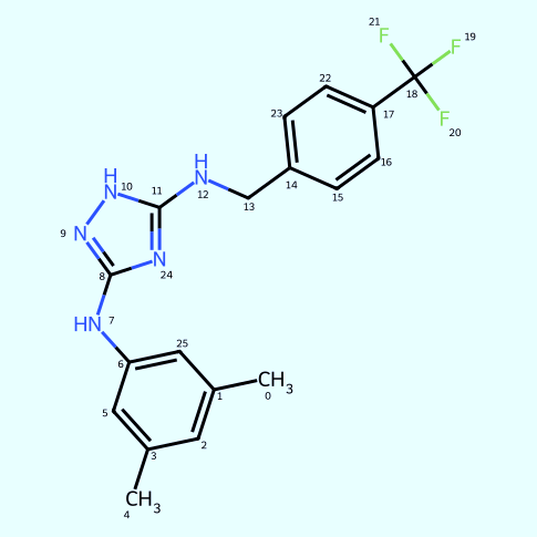 Cc1cc(C)cc(Nc2n[nH]c(NCc3ccc(C(F)(F)F)cc3)n2)c1